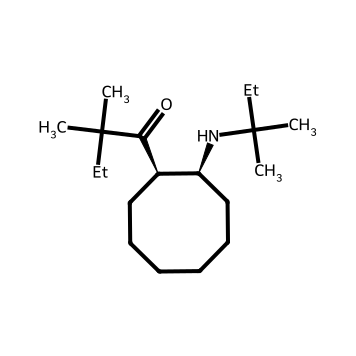 CCC(C)(C)N[C@H]1CCCCCC[C@H]1C(=O)C(C)(C)CC